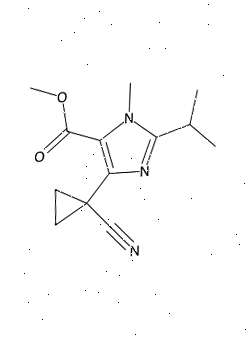 COC(=O)c1c(C2(C#N)CC2)nc(C(C)C)n1C